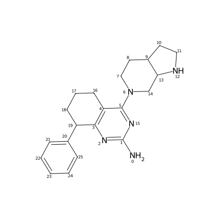 Nc1nc2c(c(N3CCC4CCNC4C3)n1)CCCC2c1ccccc1